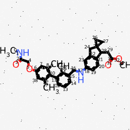 CNC(=O)COc1cc(C)c(-c2cccc(CNc3ccc4c(c3)CC3(CC3)C4CC(=O)OC)c2C)c(C)c1